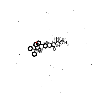 CCCCc1nc(NC(=O)C(C)(C)Br)[nH]c(=O)c1Cc1ccc(-c2ccccc2-c2nnnn2C(c2ccccc2)(c2ccccc2)c2ccccc2)cc1